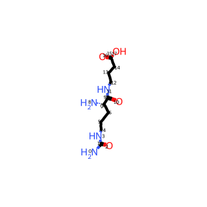 NC(=O)NCCC[C@H](N)C(=O)NCCCC(=O)O